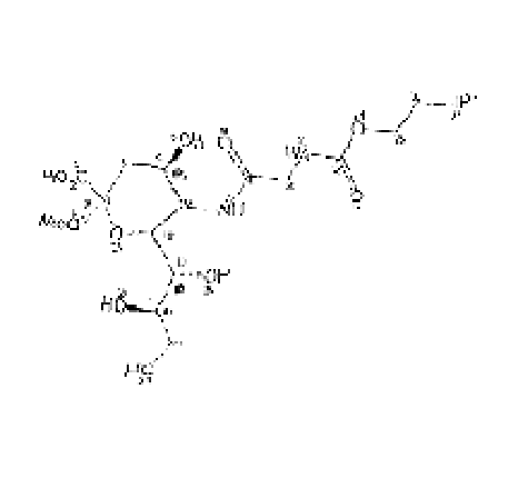 CO[C@]1(C(=O)O)C[C@@H](O)C(NC(=O)CNC(=O)OCCC(C)C)C([C@H](O)[C@H](O)CO)O1